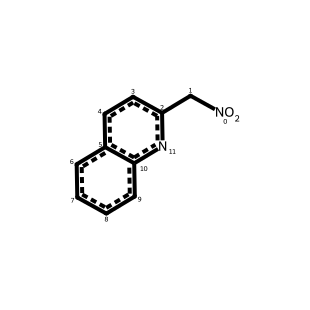 O=[N+]([O-])Cc1ccc2ccccc2n1